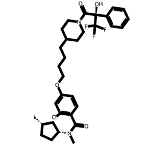 CN(C(=O)c1ccc(OCCCCC2CCN(C(=O)[C@](O)(c3ccccc3)C(F)(F)F)CC2)cc1Cl)[C@@H]1CC[C@H](I)C1